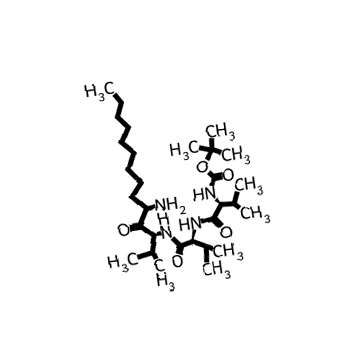 CCCCCCCCCC(N)C(=O)[C@@H](NC(=O)[C@@H](NC(=O)[C@@H](NC(=O)OC(C)(C)C)C(C)C)C(C)C)C(C)C